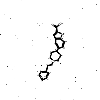 O=C(O)c1cc2cc(C3CCN(CCc4ccccc4)CC3)ccc2[nH]1